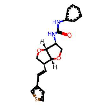 O=C(Nc1ccccc1)N[C@H]1CO[C@H]2[C@@H]1OC[C@@H]2C=Cc1ccsc1